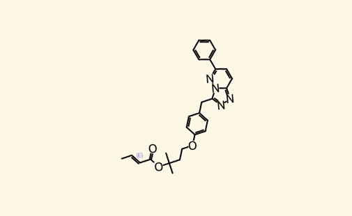 C/C=C/C(=O)OC(C)(C)CCOc1ccc(Cc2nnc3ccc(-c4ccccc4)nn23)cc1